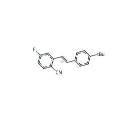 CC(C)(C)c1ccc(/C=C/c2cc(F)ccc2C#N)cc1